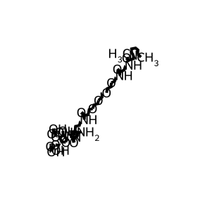 CC1CCCC(C)N1CC(=O)NCCC(=O)NCCOCCOCCOCCOCCC(=O)NCCCc1cn([C@@H]2O[C@H](COP(=O)(O)O)[C@H](OP(=O)(O)O)C2O)c(=O)nc1N